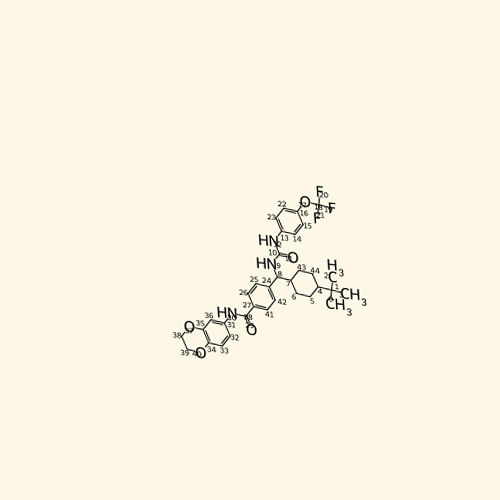 CC(C)(C)C1CCC(C(NC(=O)Nc2ccc(OC(F)(F)F)cc2)c2ccc(C(=O)Nc3ccc4c(c3)OCCO4)cc2)CC1